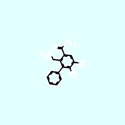 CCc1c(C(N)=O)cc(Cl)c(Cl)c1-c1ccccc1